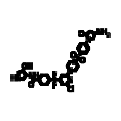 N[C@@H]1CC(=O)N(c2ccc(S(=O)(=O)N3CCN(c4cc(C(F)(F)C5CCC(C(=O)NC6CNCC6O)CC5)cc(Cl)n4)CC3)cc2)C1